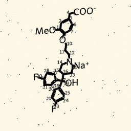 COc1cc(CC(=O)[O-])ccc1OCCCN1CCC(C(O)(c2ccc(F)cc2)c2ccc(F)cc2)CC1.[Na+]